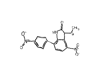 CSC1C(=O)Nc2c(-c3ccc([N+](=O)[O-])cc3)ccc([N+](=O)[O-])c21